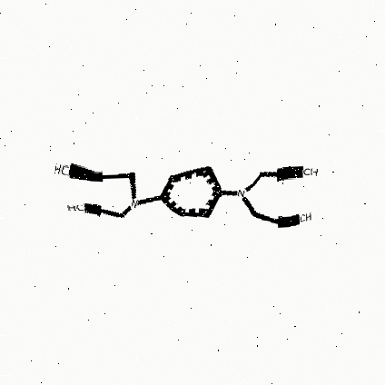 C#CCN(CC#C)c1ccc(N(CC#C)CC#C)cc1